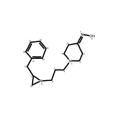 ON=C1CCN(CCCN2CC2Cc2ccccc2)CC1